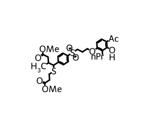 CCCc1c(OCCCS(=O)(=O)c2ccc(C(SCCC(=O)OC)C(C)CC(=O)OC)cc2)ccc(C(C)=O)c1O